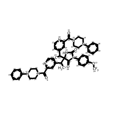 CC(c1ccnc(C(=O)N2CCN(c3ccccc3)CC2)c1)C1(C(C)c2ccnc(C(=O)N3CCN(c4ccccc4)CC3)c2)NC(=O)N(c2ccc(OC(F)(F)F)cc2)C1=O